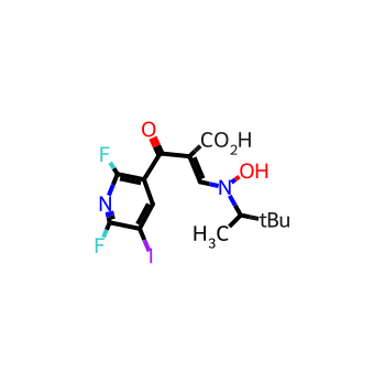 CC(N(O)C=C(C(=O)O)C(=O)c1cc(I)c(F)nc1F)C(C)(C)C